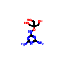 Nc1nc(N)nc(NOC(CO)(CO)CO)n1